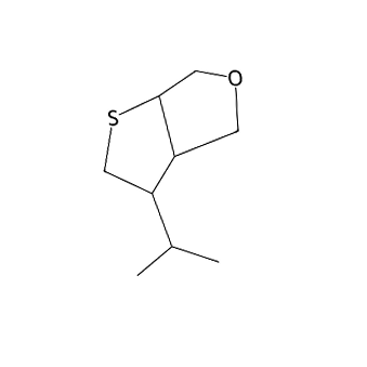 CC(C)C1CSC2COCC21